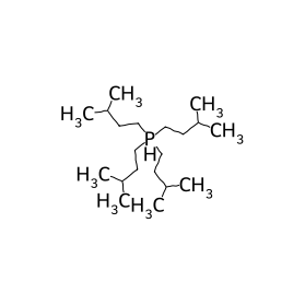 CC(C)CC[PH](CCC(C)C)(CCC(C)C)CCC(C)C